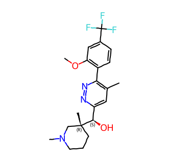 COc1cc(C(F)(F)F)ccc1-c1nnc([C@@H](O)[C@]2(C)CCCN(C)C2)cc1C